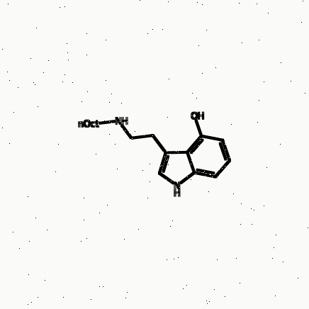 CCCCCCCCNCCc1c[nH]c2cccc(O)c12